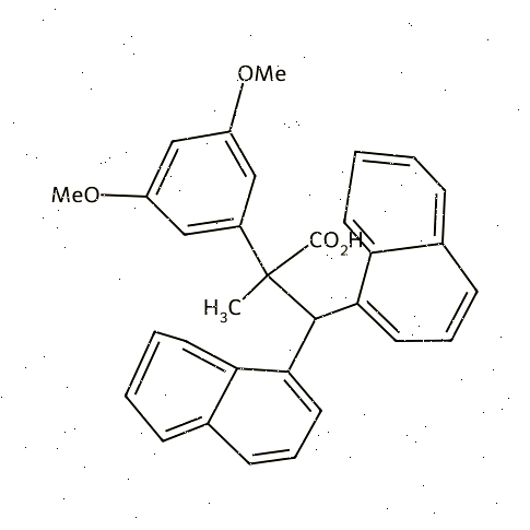 COc1cc(OC)cc(C(C)(C(=O)O)C(c2cccc3ccccc23)c2cccc3ccccc23)c1